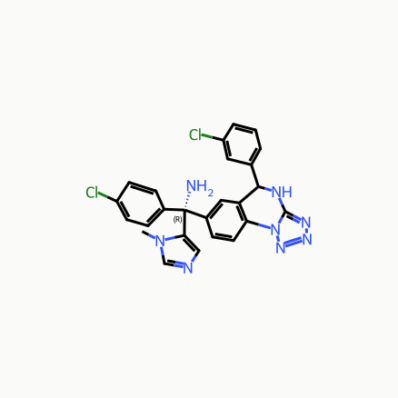 Cn1cncc1[C@@](N)(c1ccc(Cl)cc1)c1ccc2c(c1)C(c1cccc(Cl)c1)Nc1nnnn1-2